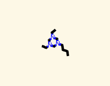 CCCCN1CN(CC)CN(CC)C1